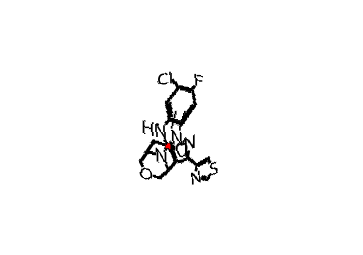 O=C(Nc1ccc(F)c(Cl)c1)N1C2COCC1c1c(-c3cscn3)n[nH]c1C2